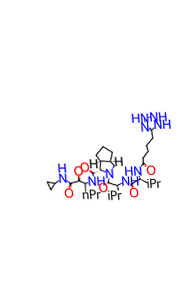 CCCC(NC(=O)[C@@H]1[C@H]2CCC[C@H]2CN1C(=O)[C@@H](NC(=O)[C@@H](NC(=O)CCCCC1=NNNN1)C(C)C)C(C)C)C(=O)C(=O)NC1CC1